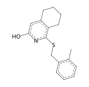 Cc1ccccc1CSc1nc(O)cc2c1CCCC2